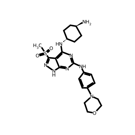 CS(=O)(=O)c1n[nH]c2nc(Nc3ccc(N4CCOCC4)cc3)nc(N[C@H]3CC[C@H](N)CC3)c12